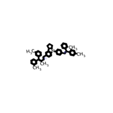 CC(/C=C/c1ccc2c(c1)C1CCCC1N2c1ccc(/C=C(\c2ccccc2)c2ccc(C)cc2C)cc1)=C(c1cccc(C)c1)c1cccc(C)c1